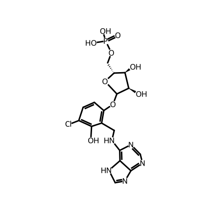 O=P(O)(O)OC[C@H]1OC(Oc2ccc(Cl)c(O)c2CNc2ncnc3nc[nH]c23)[C@H](O)[C@@H]1O